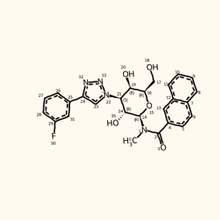 CN(C(=O)c1ccc2ccccc2c1)[C@@H]1O[C@H](CO)[C@H](O)[C@H](n2cc(-c3cccc(F)c3)nn2)[C@H]1O